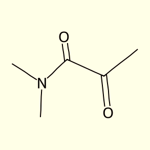 CC(=O)C(=O)N(C)C